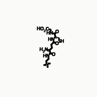 C[N+](C)(C)CCNC(=O)[C@@H](N)CCC(=O)N[C@@H](CS)C(=O)NCC(=O)O